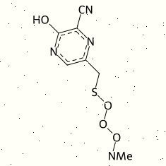 CNOOOSCc1cnc(O)c(C#N)n1